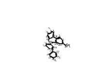 CC(C)c1ccc2c3ccccc3n(-c3cccc(-c4ccccc4)c3)c2c1